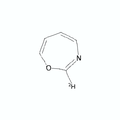 [2H]C1=NC=CC=CO1